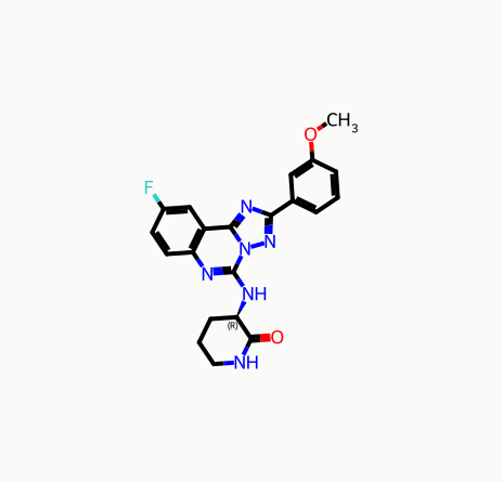 COc1cccc(-c2nc3c4cc(F)ccc4nc(N[C@@H]4CCCNC4=O)n3n2)c1